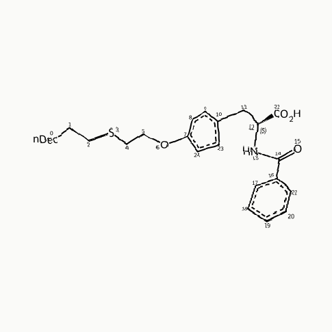 CCCCCCCCCCCCSCCOc1ccc(C[C@H](NC(=O)c2ccccc2)C(=O)O)cc1